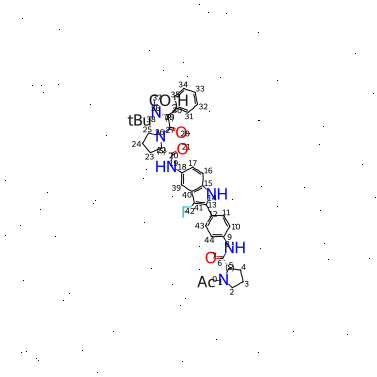 CC(=O)N1CCC[C@H]1C(=O)Nc1ccc(-c2[nH]c3ccc(NC(=O)[C@@H]4CCCN4C(=O)[C@@H](c4ccccc4)N(C(=O)O)C(C)(C)C)cc3c2F)cc1